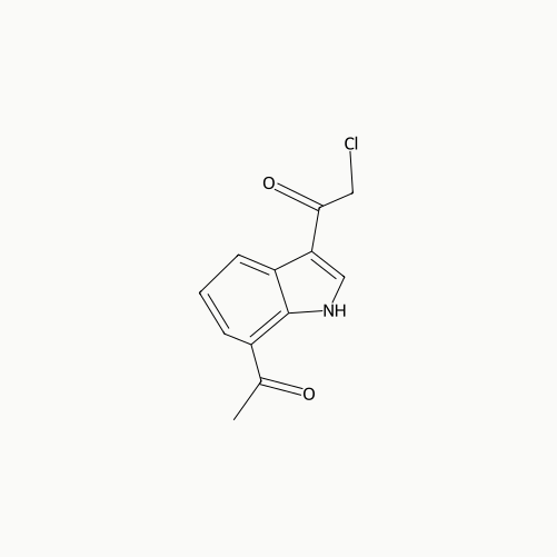 CC(=O)c1cccc2c(C(=O)CCl)c[nH]c12